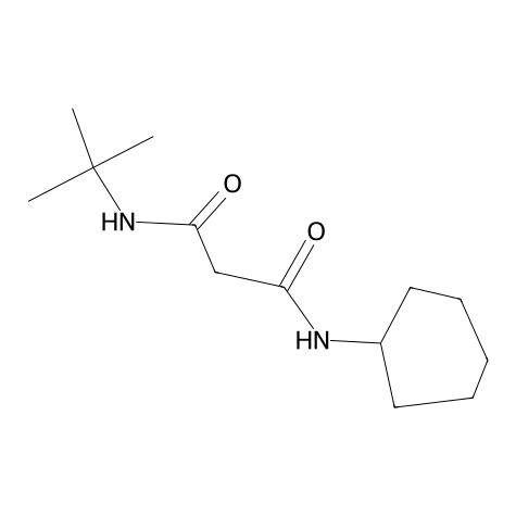 CC(C)(C)NC(=O)CC(=O)NC1CCCCC1